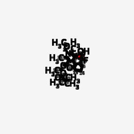 COCN1C(C)=C(C(=O)O)C(c2ccccc2C(F)(F)F)C(C(=O)OC(C)OC(=O)C(C)(C)C)=C1C